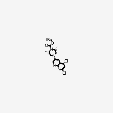 C[C@@H]1CN(c2cnc3nc(Cl)cc(Cl)c3c2)C[C@H](C)N1C(=O)OC(C)(C)C